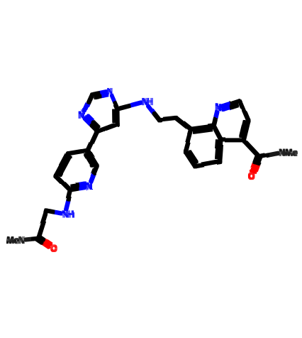 CNC(=O)CNc1ccc(-c2cc(NCCc3cccc4c(C(=O)NC)ccnc34)ncn2)cn1